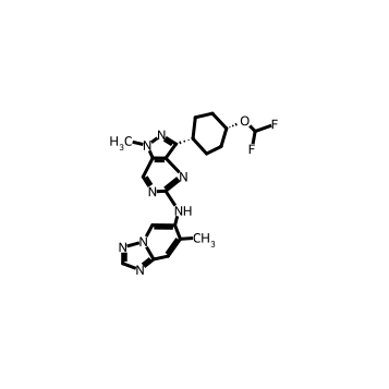 Cc1cc2ncnn2cc1Nc1ncc2c(n1)c([C@H]1CC[C@@H](OC(F)F)CC1)nn2C